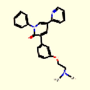 CN(C)CCOc1cccc(-c2cc(-c3ccccn3)cn(-c3ccccc3)c2=O)c1